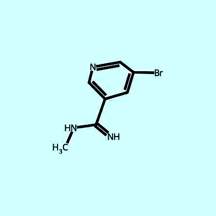 CNC(=N)c1cncc(Br)c1